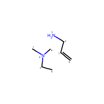 C=CCN.CCN(C)C